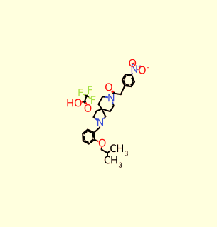 CC(C)COc1ccccc1CN1CCC2(CCN(C(=O)Cc3ccc([N+](=O)[O-])cc3)CC2)C1.O=C(O)C(F)(F)F